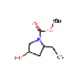 CC(C)(C)OC(=O)N1CC(O)CC1CC#N